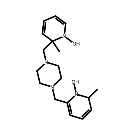 CC1C=CC=C(CN2CCN(CC3(C)C=CC=CN3O)CC2)N1O